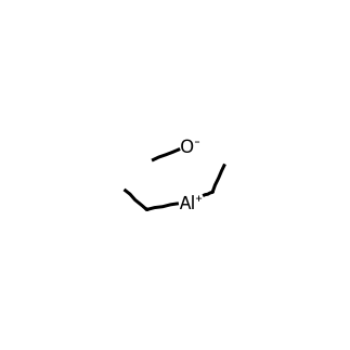 C[CH2][Al+][CH2]C.C[O-]